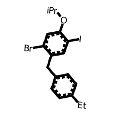 CCc1ccc(Cc2cc(I)c(OC(C)C)cc2Br)cc1